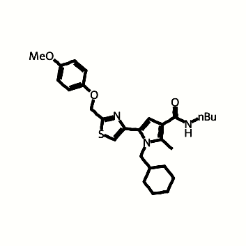 CCCCNC(=O)c1cc(-c2csc(COc3ccc(OC)cc3)n2)n(CC2CCCCC2)c1C